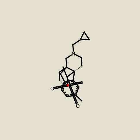 Cc1ccc2c(c1)[C@]13CCN(CC4CC4)CC1(CC[C@@]1(C3)NC(=O)CC1=O)C2